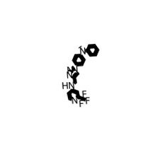 CN(c1ccccc1)c1ccc(-n2cc(CNc3ccnc(C(F)(F)F)c3)nn2)cc1